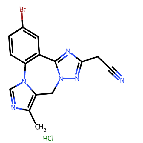 Cc1ncn2c1Cn1nc(CC#N)nc1-c1cc(Br)ccc1-2.Cl